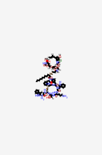 CCCCCCCCCCC(CCN[C@H](Cc1ccccc1)C(=O)N[C@H]1CSSC[C@@H](C(=O)N[C@@H](Cc2c[nH]c3ccccc23)C(N)=O)NC(=O)C([C@@H](C)O)NC(=O)[C@H](CCCCN)NC(=O)[C@@H](Cc2c[nH]c3ccccc23)NC(=O)[C@H](Cc2ccc(O)cc2)NC1=O)SSCCC(=O)N(C)[C@@H](C)C(=O)O[C@H]1CC(=O)N(C)c2cc(cc(OC)c2Cl)C/C(C)=C/CC[C@@H](OC)[C@@]2(O)C[C@H](OC(=O)N2)[C@@H](C)OC1(C)C